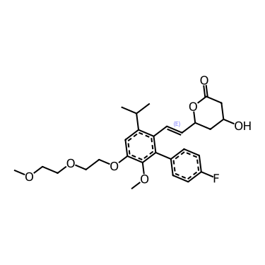 COCCOCCOc1cc(C(C)C)c(/C=C/C2CC(O)CC(=O)O2)c(-c2ccc(F)cc2)c1OC